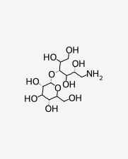 NC[C@@H](O)C(O)[C@H](O[C@@H]1OC(CO)[C@H](O)C(O)[C@@H]1O)C(O)CO